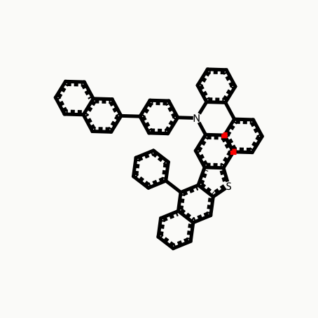 c1ccc(-c2ccccc2N(c2ccc(-c3ccc4ccccc4c3)cc2)c2ccc3sc4cc5ccccc5c(-c5ccccc5)c4c3c2)cc1